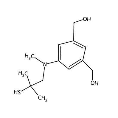 CN(CC(C)(C)S)c1cc(CO)cc(CO)c1